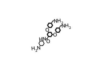 NCc1ccc(Oc2cc(Oc3ccc(CN)cc3)cc(C(=O)NC3CCC(N)CC3)c2)cc1